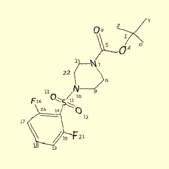 CC(C)(C)OC(=O)N1CCN(S(=O)(=O)c2c(F)cccc2F)CC1